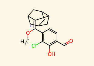 CO/C(=C1\C2CC3CC(C2)C1C3)c1ccc(C=O)c(O)c1Cl